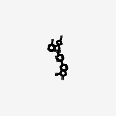 O=C1NCc2ccc(-c3ccc(NC[C@]4(c5ncccc5F)C[C@H](F)C4)nn3)cc21